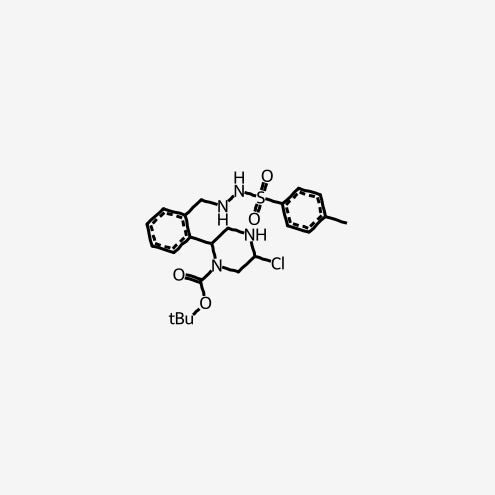 Cc1ccc(S(=O)(=O)NNCc2ccccc2C2CNC(Cl)CN2C(=O)OC(C)(C)C)cc1